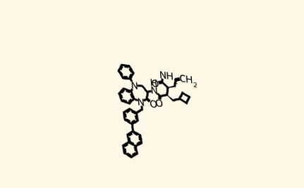 C=CC[C@H](C(N)=O)[C@@H](CC1CCC1)C(=O)NC1CN(c2ccccc2)c2ccccc2N(Cc2cccc(-c3ccc4ccccc4c3)c2)C1=O